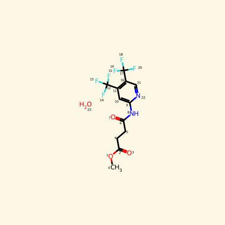 COC(=O)CCC(=O)Nc1cc(C(F)(F)F)c(C(F)(F)F)cn1.O